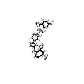 COc1ccc(Cc2csc(N3CCN(S(=O)(=O)c4cc(Cl)ccc4Cl)CC3)n2)c(OC)c1